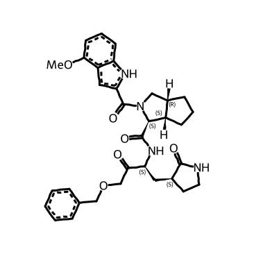 COc1cccc2[nH]c(C(=O)N3C[C@@H]4CCC[C@@H]4[C@H]3C(=O)N[C@@H](C[C@@H]3CCNC3=O)C(=O)COCc3ccccc3)cc12